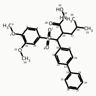 COc1ccc(S(=O)(=O)C(c2ccc(-c3ccccc3)cc2)C(CC(C)C)C(=O)NO)cc1OC